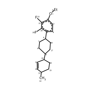 CCOc1ccc(C2CCC(C3C=CC(C)CC3)CC2)c(F)c1F